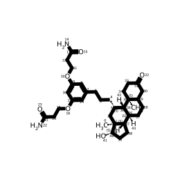 C[C@]12C[C@H](CCCc3cc(OCCC(N)=O)cc(OCCC(N)=O)c3)[C@H]3[C@@H](CCC4CC(=O)CC[C@@]43C)[C@@H]1CC[C@@H]2O